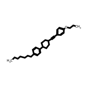 CCCCCCCc1ccc(C2CCC(C#Cc3ccc(OCCC)cc3)CC2)cc1